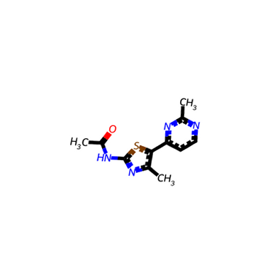 CC(=O)Nc1nc(C)c(-c2ccnc(C)n2)s1